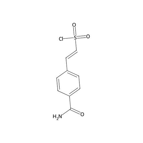 NC(=O)c1ccc(C=CS(=O)(=O)Cl)cc1